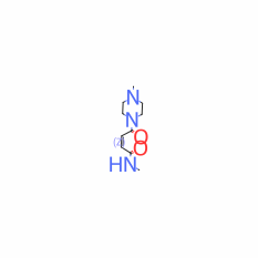 CNC(=O)/C=C\C(=O)N1CCN(C)CC1